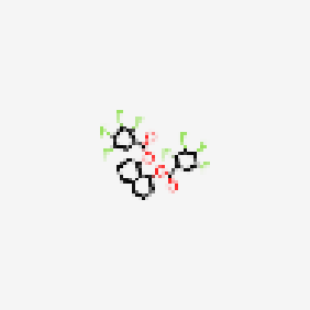 O=C(Oc1cccc2cccc(OC(=O)c3cc(F)c(F)c(F)c3F)c12)c1cc(F)c(F)c(F)c1F